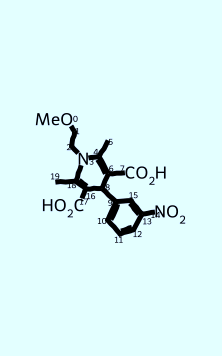 COCCN1C(C)=C(C(=O)O)C(c2cccc([N+](=O)[O-])c2)C(C(=O)O)=C1C